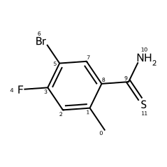 Cc1cc(F)c(Br)cc1C(N)=S